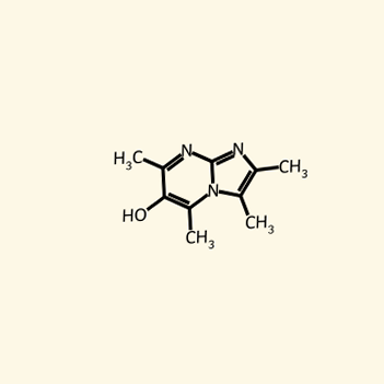 Cc1nc2nc(C)c(C)n2c(C)c1O